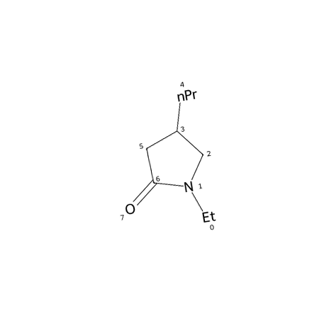 [CH2]CN1CC(CCC)CC1=O